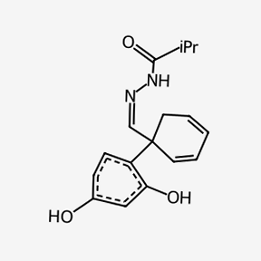 CC(C)C(=O)N/N=C\C1(c2ccc(O)cc2O)C=CC=CC1